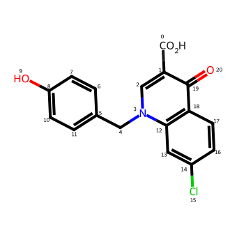 O=C(O)c1cn(Cc2ccc(O)cc2)c2cc(Cl)ccc2c1=O